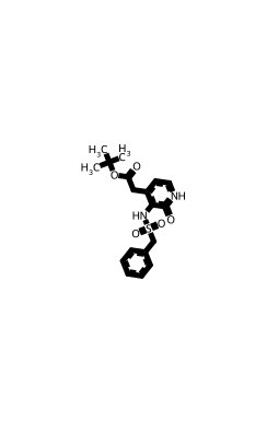 CC(C)(C)OC(=O)Cc1cc[nH]c(=O)c1NS(=O)(=O)Cc1ccccc1